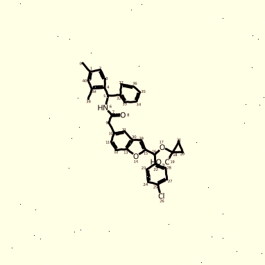 Cc1ccc(C(NC(=O)Cc2ccc3oc(C(OC4(C(=O)O)CC4)c4ccc(Cl)cc4)cc3c2)c2ccccc2)c(C)c1